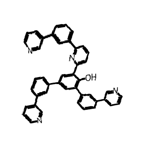 Oc1c(-c2cccc(-c3cccnc3)c2)cc(-c2cccc(-c3cccnc3)c2)cc1-c1cccc(-c2cccc(-c3cccnc3)c2)n1